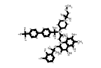 [2H]C1=C(SC([2H])([2H])c2cccc(F)c2F)N(CC(=O)N(C2CCN(C([2H])([2H])COC)CC2)C([2H])([2H])c2ccc(-c3ccc(C(F)(F)F)cc3)cc2)c2c([2H])c([2H])c(C)c([2H])c2C1O